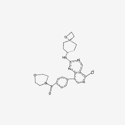 O=C(c1ccc(-c2cnc(Cl)c3cnc(NC4CCC5(CCO5)CC4)nc23)cc1)N1CCOCC1